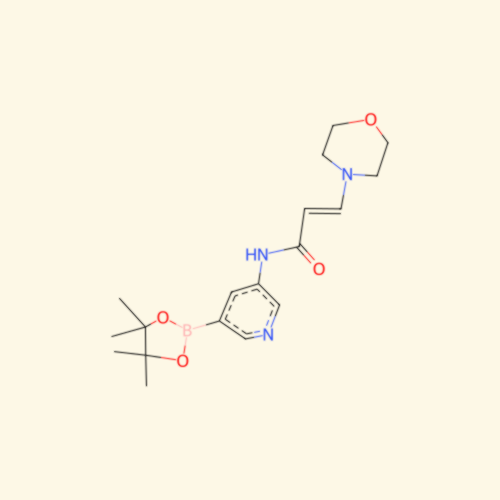 CC1(C)OB(c2cncc(NC(=O)C=CN3CCOCC3)c2)OC1(C)C